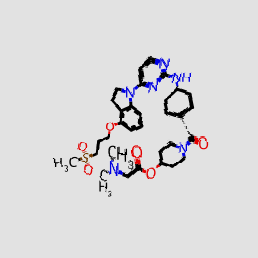 CN(C)CC(=O)OC1CCN(C(=O)[C@H]2CC[C@H](Nc3nccc(N4CCc5c(OCCCS(C)(=O)=O)cccc54)n3)CC2)CC1